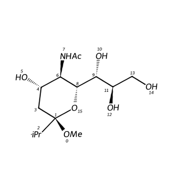 CO[C@@]1([C](C)C)C[C@H](O)[C@@H](NC(C)=O)[C@H]([C@H](O)[C@H](O)CO)O1